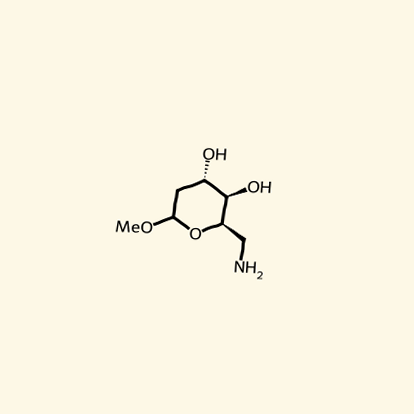 COC1C[C@H](O)[C@@H](O)[C@@H](CN)O1